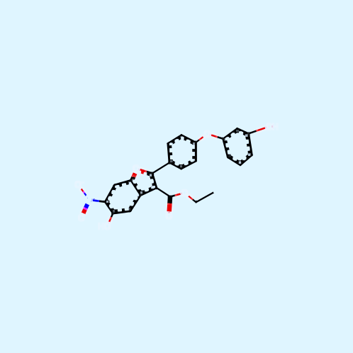 CCOC(=O)c1c(-c2ccc(Oc3cccc(O)c3)cc2)oc2cc([N+](=O)[O-])c(O)cc12